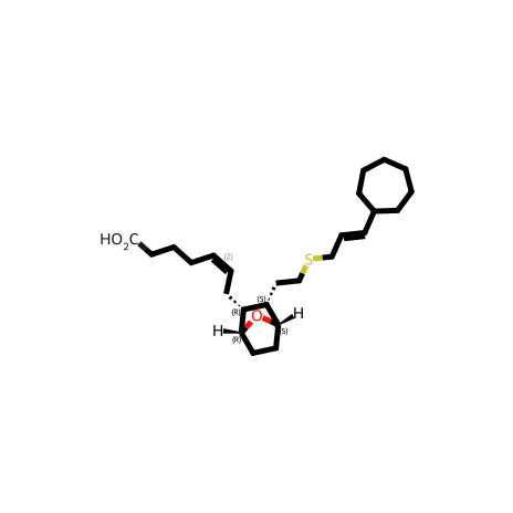 O=C(O)CCC/C=C\C[C@@H]1[C@H](CCSCC=CC2CCCCCC2)[C@@H]2CC[C@H]1O2